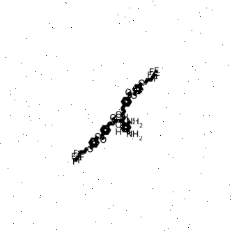 Nc1ccc(C(CC(=O)/C=C/c2ccc(C(=O)Oc3ccc(OCCCC(F)(F)C(F)(F)F)cc3)cc2)C(O)(O)C(=O)/C=C/c2ccc(C(=O)Oc3ccc(OCCCC(F)(F)C(F)(F)F)cc3)cc2)c(N)c1